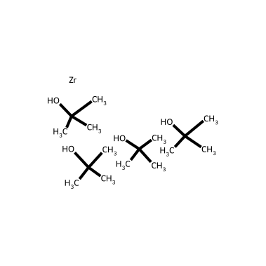 CC(C)(C)O.CC(C)(C)O.CC(C)(C)O.CC(C)(C)O.[Zr]